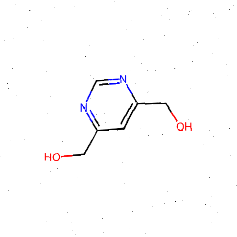 OCc1cc(CO)ncn1